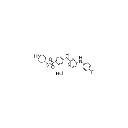 CN(C1CCNCC1)S(=O)(=O)c1ccc(Nc2nccc(Nc3ccc(F)cc3)n2)cc1.Cl